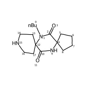 CCCCN1C(=O)C2(CCCC2)NC(=O)C12CCNCC2